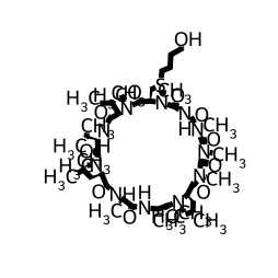 CCC(C)C1C(=O)N[C@H](C(C)C)C(=O)N(C)[C@H](CC(C)C)C(=O)N[C@H](C)C(=O)N[C@@H](C)C(=O)N(C)[C@H](CC(C)C)C(=O)N(C)C(=O)N(C)C(=O)N(C)C(=O)NC(=O)N(C)[C@H](CSCCCCO)C(=O)N1C